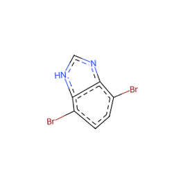 Brc1ccc(Br)c2[nH]cnc12